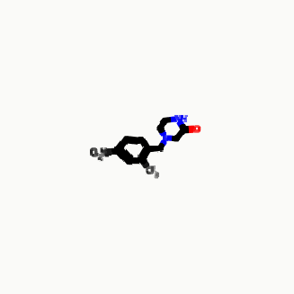 O=C1CN(Cc2ccc([N+](=O)[O-])cc2C(F)(F)F)CCN1